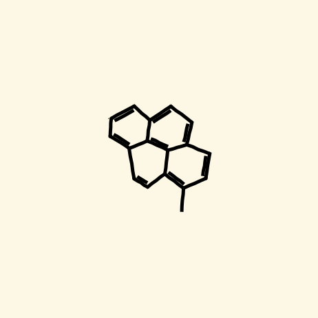 Cc1ccc2ccc3c[c]cc4ccc1c2c34